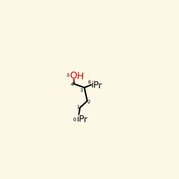 CC(C)CCC(CO)C(C)C